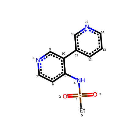 CCS(=O)(=O)Nc1ccncc1-c1cccnc1